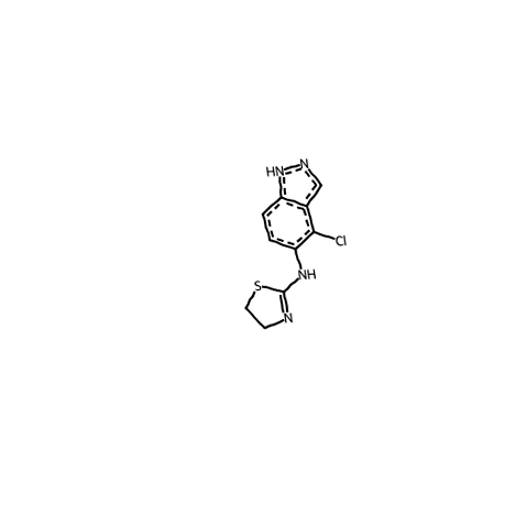 Clc1c(NC2=NCCS2)ccc2[nH]ncc12